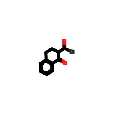 CCC(=O)C1CCc2ccccc2C1=O